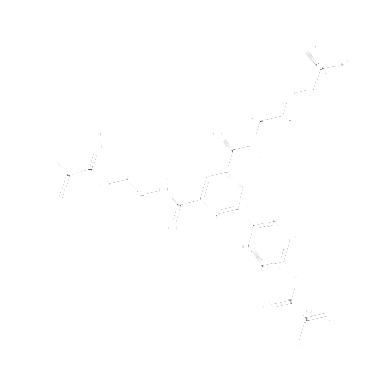 C=C(C)C(=O)OCCOC(=O)c1cc(C(=O)OCCOC(O)C(=C)C)cc(-c2ccc(OC(=O)C(=C)C)cc2)c1